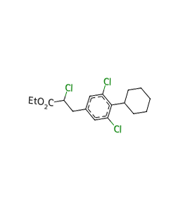 CCOC(=O)C(Cl)Cc1cc(Cl)c(C2CCCCC2)c(Cl)c1